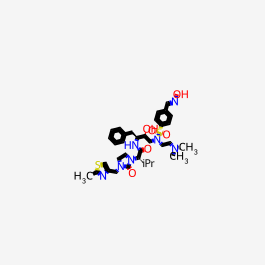 Cc1nc(CN2CCN([C@H](C(=O)N[C@@H](Cc3ccccc3)[C@H](O)CN(CCN(C)C)S(=O)(=O)c3ccc(C=NO)cc3)C(C)C)C2=O)cs1